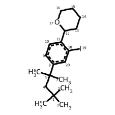 CC(C)(C)CC(C)(C)c1ccc(C2CCCCO2)c(I)c1